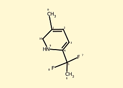 CC1=CC=C(C(C)(F)F)NC1